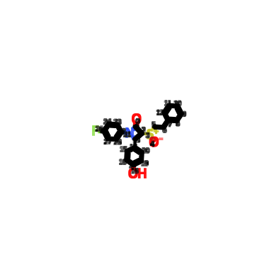 O=C1[C@@H]([S+]([O-])CCc2ccccc2)[C@@H](c2ccc(O)cc2)N1c1ccc(F)cc1